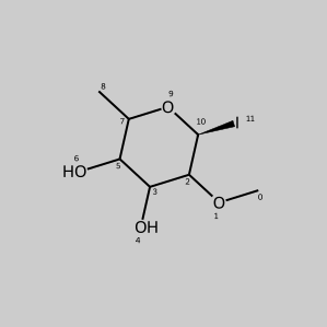 COC1C(O)C(O)C(C)O[C@H]1I